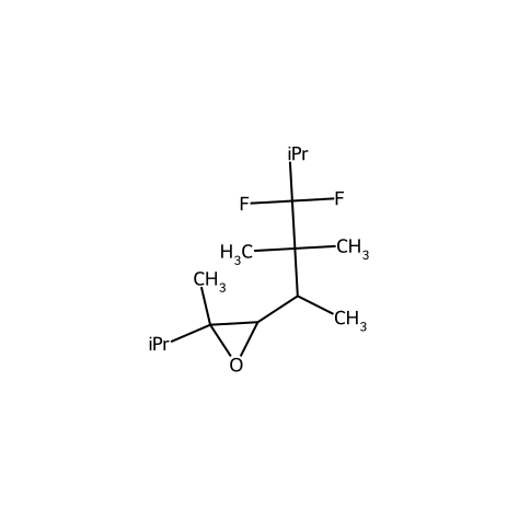 CC(C)C1(C)OC1C(C)C(C)(C)C(F)(F)C(C)C